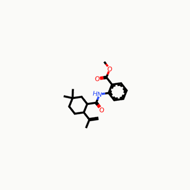 C=C(C)C1CCC(C)(C)CC1C(=O)Nc1ccccc1C(=O)OC